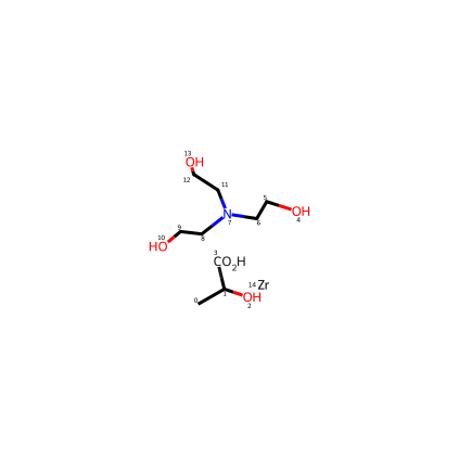 CC(O)C(=O)O.OCCN(CCO)CCO.[Zr]